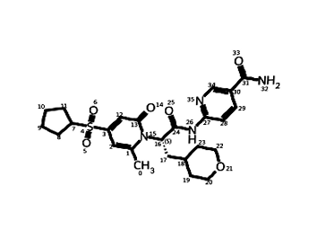 Cc1cc(S(=O)(=O)C2CCCC2)cc(=O)n1[C@@H](CC1CCOCC1)C(=O)Nc1ccc(C(N)=O)cn1